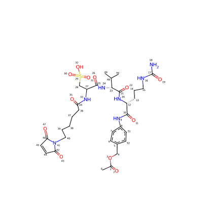 CC(=O)OCc1ccc(NC(=O)[C@@H](CCCNC(N)=O)NC(=O)[C@H](NC(=O)C(CS(=O)(=O)O)NC(=O)CCCCCN2C(=O)C=CC2=O)C(C)C)cc1